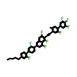 CCCCCc1ccc(-c2ccc(-c3cc(F)c4c(F)c(C#Cc5cc(F)c(-c6cc(F)c(F)c(F)c6)cc5C)c(F)cc4c3)c(F)c2)c(F)c1